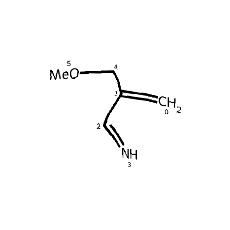 C=C(C=N)COC